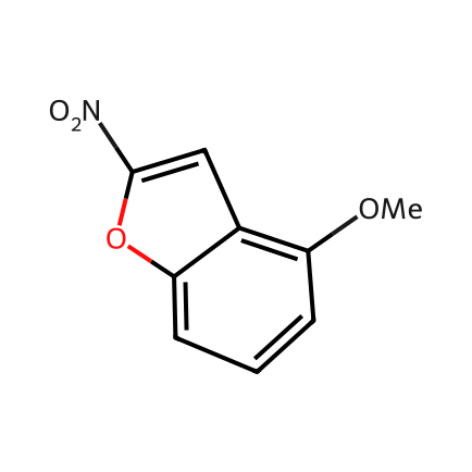 COc1cccc2oc([N+](=O)[O-])cc12